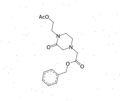 CC(=O)OCCN1CCN(CC(=O)OCc2ccccc2)CC1=O